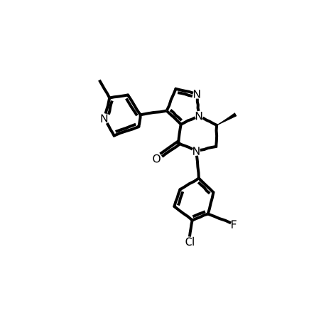 Cc1cc(-c2cnn3c2C(=O)N(c2ccc(Cl)c(F)c2)C[C@@H]3C)ccn1